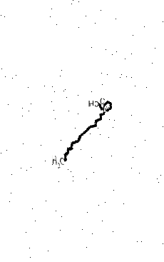 CCCCCCCCCCCCCCCC[N+]1(CC(=O)O)CCCCC1